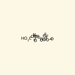 O=C(O)c1ccc2nc(CN3CCC(c4cccc(OCc5ccc(C6COC6)cc5OC(F)C(F)F)n4)CC3)n(CC3CCO3)c2c1